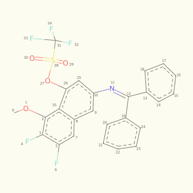 COc1c(F)c(F)cc2cc(N=C(c3ccccc3)c3ccccc3)cc(OS(=O)(=O)C(F)(F)F)c12